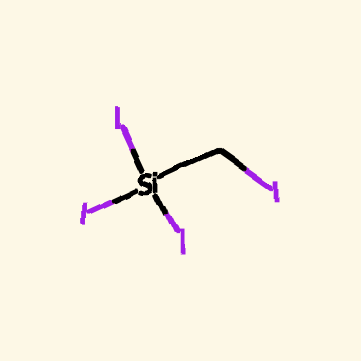 IC[Si](I)(I)I